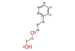 OCCOC[CH]Cc1ccccc1